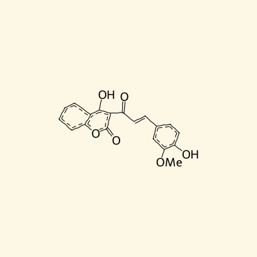 COc1cc(C=CC(=O)c2c(O)c3ccccc3oc2=O)ccc1O